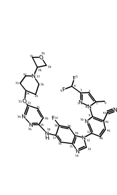 Cc1cc(C(F)F)nn1-c1nc(-n2cnc3cc(Nc4ccc(OC5CCN(C6COC6)CC5)nn4)c(F)cc32)ccc1C#N